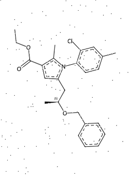 CCOC(=O)c1cc(C[C@H](C)OCc2ccccc2)n(-c2ccc(C)cc2Cl)c1C